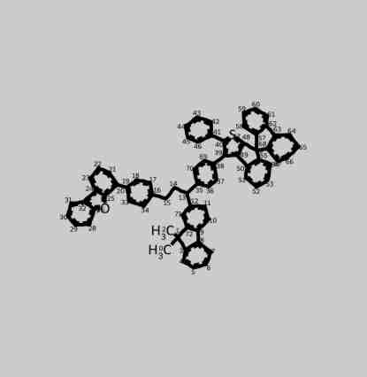 CC1(C)c2ccccc2-c2ccc(C(CCc3ccc(-c4cccc5c4oc4ccccc45)cc3)c3ccc(-c4c(-c5ccccc5)sc5c4-c4ccccc4C54c5ccccc5-c5ccccc54)cc3)cc21